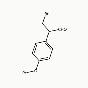 CC(C)Oc1ccc(C(C=O)CBr)cc1